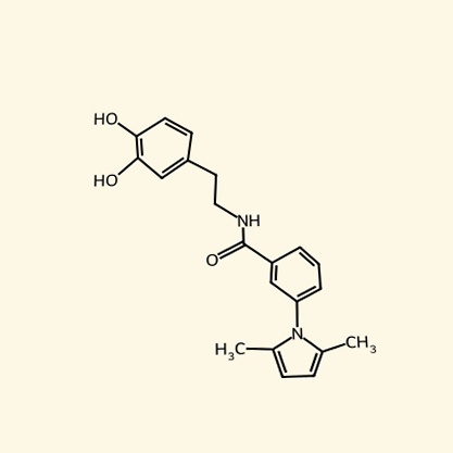 Cc1ccc(C)n1-c1cccc(C(=O)NCCc2ccc(O)c(O)c2)c1